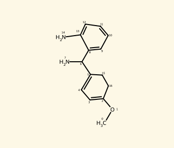 COC1=CC=C(C(N)c2ccccc2N)CC1